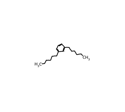 CCCCCCc1[c]c(CCCCCC)ccc1